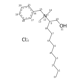 CCCCCCCCCC(CO)[N+](C)(C)Cc1ccccc1.[Cl-]